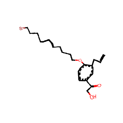 C=CCc1cc(C(=O)CO)ccc1OCCCCCCCCCCBr